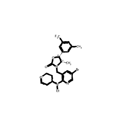 CCN(c1ncc(Br)cc1CN1C(=O)O[C@H](c2cc(C)cc(C(F)(F)F)c2)[C@@H]1C)C1CCOCC1